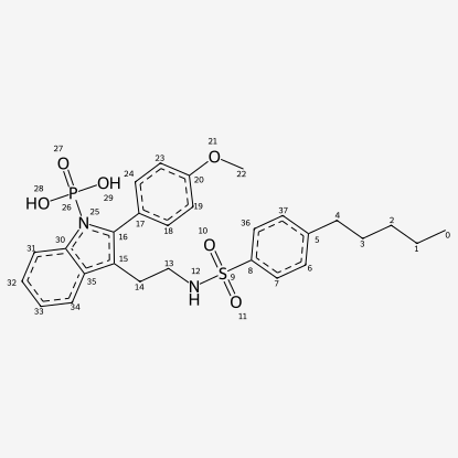 CCCCCc1ccc(S(=O)(=O)NCCc2c(-c3ccc(OC)cc3)n(P(=O)(O)O)c3ccccc23)cc1